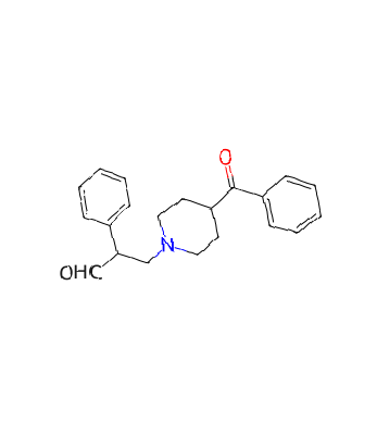 O=CC(CN1CCC(C(=O)c2ccccc2)CC1)c1ccccc1